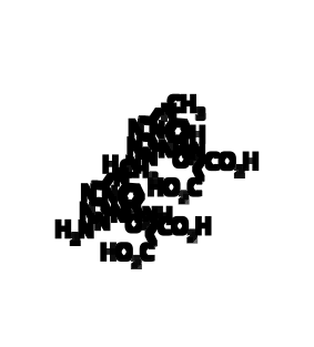 CN(Cc1cnc2nc(N)nc(N)c2n1)c1ccc(C(=O)NC(CCC(=O)O)C(=O)O)cc1.CN(Cc1cnc2nc(N)nc(N)c2n1)c1ccc(C(=O)NC(CCC(=O)O)C(=O)O)cc1